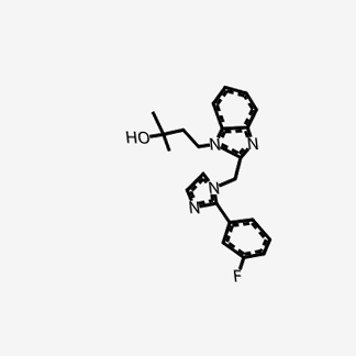 CC(C)(O)CCn1c(Cn2ccnc2-c2cccc(F)c2)nc2ccccc21